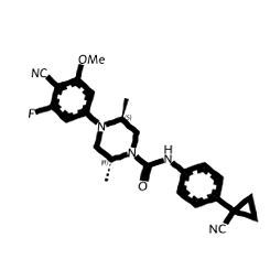 COc1cc(N2C[C@@H](C)N(C(=O)Nc3ccc(C4(C#N)CC4)cc3)C[C@@H]2C)cc(F)c1C#N